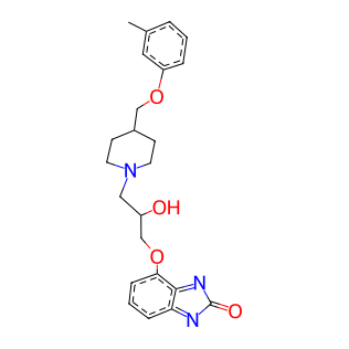 Cc1cccc(OCC2CCN(CC(O)COc3cccc4c3=NC(=O)N=4)CC2)c1